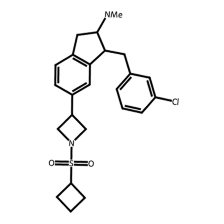 CNC1Cc2ccc(C3CN(S(=O)(=O)C4CCC4)C3)cc2C1Cc1cccc(Cl)c1